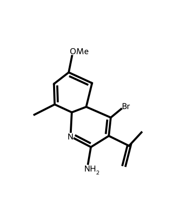 C=C(C)C1=C(Br)C2C=C(OC)C=C(C)C2N=C1N